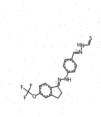 FC(F)(F)Oc1ccc2c(c1)CC/C2=N\Nc1ccc(/C=N/NC=S)cc1